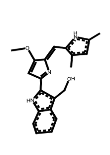 COC1=CC(c2[nH]c3ccccc3c2CO)=N/C1=C\c1[nH]c(C)cc1C